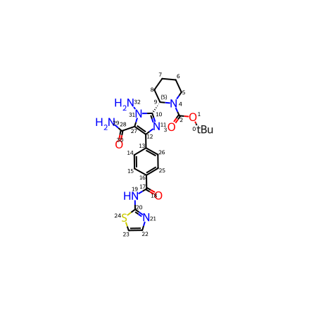 CC(C)(C)OC(=O)N1CCCC[C@H]1c1nc(-c2ccc(C(=O)Nc3nccs3)cc2)c(C(N)=O)n1N